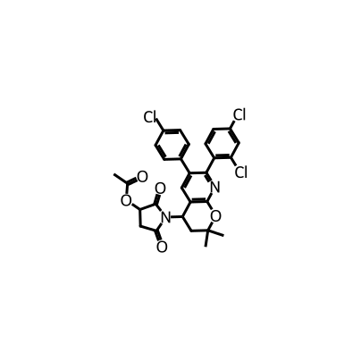 CC(=O)OC1CC(=O)N(C2CC(C)(C)Oc3nc(-c4ccc(Cl)cc4Cl)c(-c4ccc(Cl)cc4)cc32)C1=O